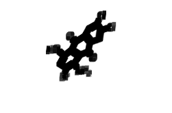 Nc1c(Br)cc(O)c2c1C(=O)c1cc(Cl)c(Cl)cc1C2=O